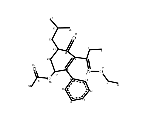 CCON=C(CC)C1=C(c2ccccc2)C(OC(C)=O)CC(CC(C)C)C1=O